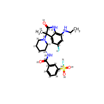 CCNc1cc(F)cc2c1NC(=O)C2(C)N1CCC[C@@H](NC(=O)c2cccc(S(=O)(=O)F)c2)C1